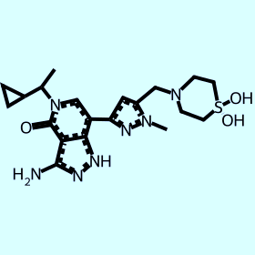 CC(C1CC1)n1cc(-c2cc(CN3CCS(O)(O)CC3)n(C)n2)c2[nH]nc(N)c2c1=O